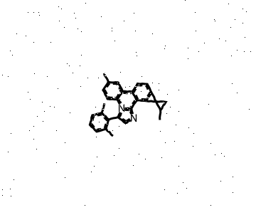 Cc1ccc2c(c1)c1ccc3c(c1c1ncc(-c4c(C)cccc4C)n21)C31CC1C